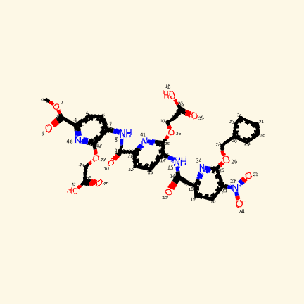 COC(=O)c1ccc(NC(=O)c2ccc(NC(=O)c3ccc([N+](=O)[O-])c(OCc4ccccc4)n3)c(OCC(=O)O)n2)c(OCC(=O)O)n1